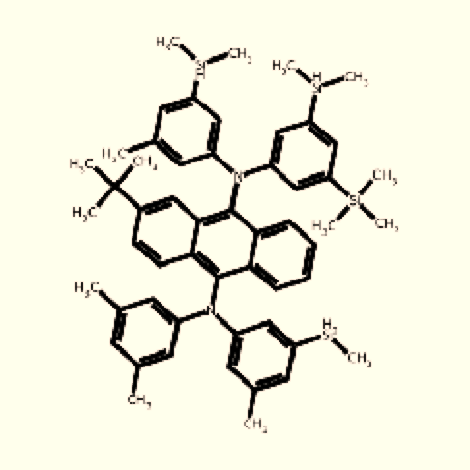 C[SiH2]c1cc(C)cc(N(c2cc(C)cc(C)c2)c2c3ccccc3c(N(c3cc(C)cc([SiH](C)C)c3)c3cc([SiH](C)C)cc([Si](C)(C)C)c3)c3cc(C(C)(C)C)ccc23)c1